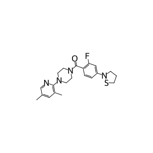 Cc1cnc(N2CCN(C(=O)c3ccc(N4CCCS4)cc3F)CC2)c(C)c1